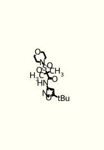 CC(C)(C)c1cc(NC(=O)C(C)(C)S(=O)(=O)N2CCOCC2)no1